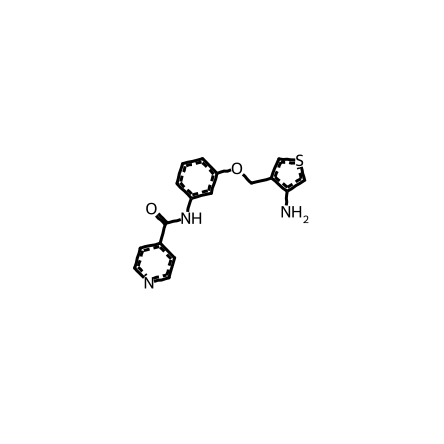 Nc1cscc1COc1cccc(NC(=O)c2ccncc2)c1